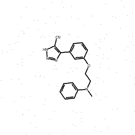 CN(CCOc1cccc(-c2nn[nH]c2C#N)c1)c1ccccc1